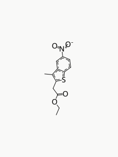 CCOC(=O)Cc1sc2ccc([N+](=O)[O-])cc2c1C